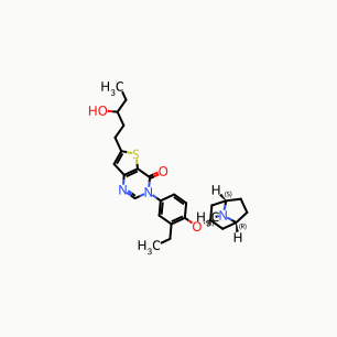 CCc1cc(-n2cnc3cc(CCC(O)CC)sc3c2=O)ccc1O[C@H]1C[C@H]2CC[C@@H](C1)N2C